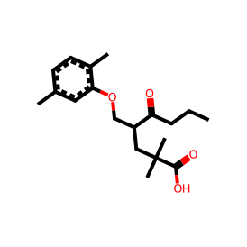 CCCC(=O)C(COc1cc(C)ccc1C)CC(C)(C)C(=O)O